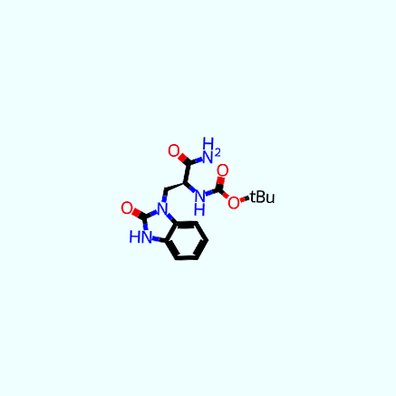 CC(C)(C)OC(=O)N[C@@H](Cn1c(=O)[nH]c2ccccc21)C(N)=O